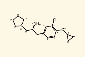 N[C@@H](Cc1ccc(OC2CC2)c(Cl)c1)CN1CCCC1